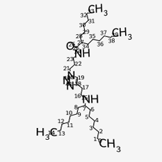 CCCCCCCC(CCCCCCC)NCCc1cn(CCCNC(=O)C(CCCCCC)CCCCCC)nn1